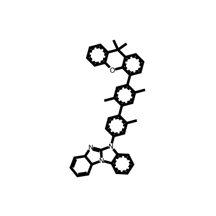 Cc1cc(N2C3=NC4C=CC=CC4N3c3ccccc32)ccc1-c1cc(C)c(-c2cccc3c2Oc2ccccc2C3(C)C)cc1C